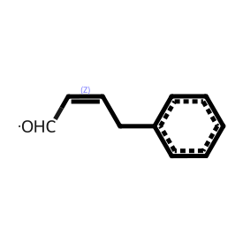 O=[C]/C=C\Cc1ccccc1